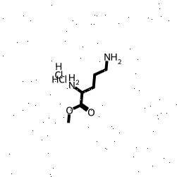 COC(=O)C(N)CCCN.Cl.Cl